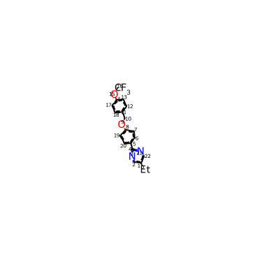 CCc1cnc(-c2ccc(OCc3ccc(OC(F)(F)F)cc3)cc2)nc1